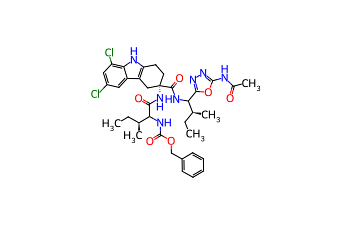 CC[C@H](C)C(NC(=O)OCc1ccccc1)C(=O)N[C@@]1(C(=O)NC(c2nnc(NC(C)=O)o2)[C@@H](C)CC)CCc2[nH]c3c(Cl)cc(Cl)cc3c2C1